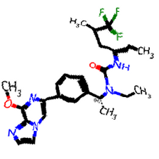 CCC(CC(C)C(F)(F)F)NC(=O)N(CC)[C@H](C)c1cccc(-c2cn3ccnc3c(OC)n2)c1